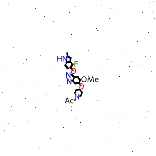 COc1cc2c(Oc3ccc4[nH]c(C)cc4c3F)ncnc2cc1OC1CCN(CC(C)=O)CC1